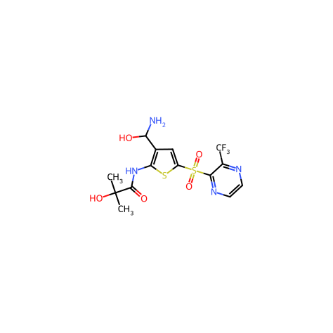 CC(C)(O)C(=O)Nc1sc(S(=O)(=O)c2nccnc2C(F)(F)F)cc1C(N)O